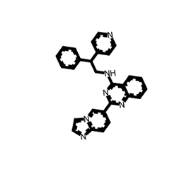 c1ccc(C(CNc2nc(-c3ccc4nccn4c3)nc3ccccc23)c2ccncc2)cc1